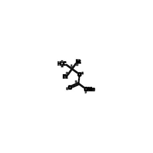 CCC(C)(CC)OC(=O)OC